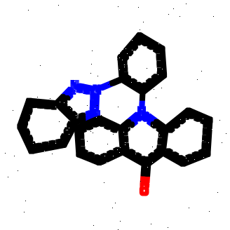 O=c1c2ccccc2n(-c2ccccc2-n2nc3ccccc3n2)c2ccccc12